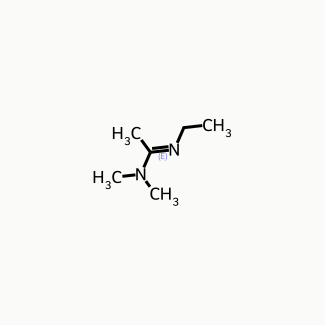 CC/N=C(\C)N(C)C